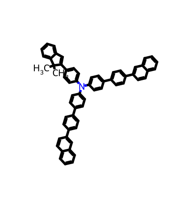 CC1(C)C(c2ccc(N(c3ccc(-c4ccc(-c5ccc6ccccc6c5)cc4)cc3)c3ccc(-c4ccc(-c5ccc6ccccc6c5)cc4)cc3)cc2)=Cc2ccccc21